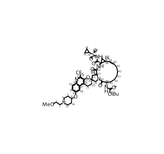 COCCN1CCC(Oc2ccc3nc(C(F)(F)F)c4c(c3c2)CC[C@]2(C[C@H]3C(=O)N[C@]5(C(=O)NS(=O)(=O)C6CC6)C[C@H]5/C=C\CCCCC[C@H](NC(=O)OCC(C)C)C(=O)N3C2)O4)CC1